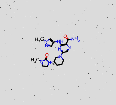 CN1CCN([C@@H]2CCCN(c3cnc(C(N)=O)c(Nc4cnn(C)c4)n3)C2)C1=O